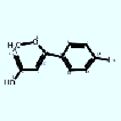 CO/C(=C\C(=O)O)c1ccc(I)cc1